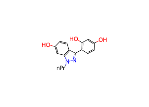 CCCn1nc(-c2ccc(O)cc2O)c2ccc(O)cc21